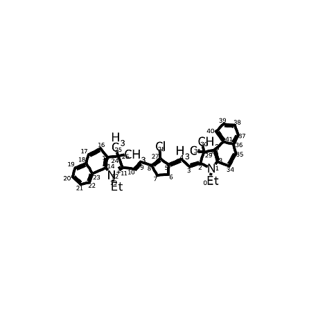 CCN1/C(=C/C=C2\CCC(/C=C/C3=[N+](CC)c4c(ccc5ccccc45)C3(C)C)=C2Cl)C(C)(C)c2c1ccc1ccccc21